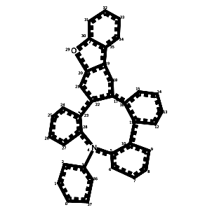 c1ccc(-n2c3ccccc3c3ccccc3c3cc4c(cc3c3ccccc32)oc2ccccc24)cc1